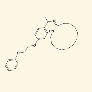 CC(/N=C1/CCCCCCCCCCCN1)c1ccc(OCCOc2ccccc2)cc1